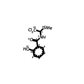 CSC(NC(=O)c1ccccc1O)C(Cl)(Cl)Cl